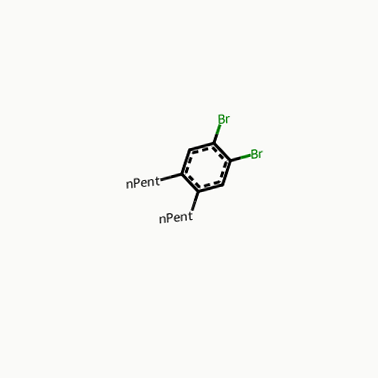 CCCCCc1cc(Br)c(Br)cc1CCCCC